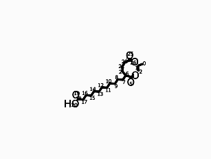 CC1COC(=O)C(CCCCCCCCCCCC(=O)O)CCCC(=O)O1